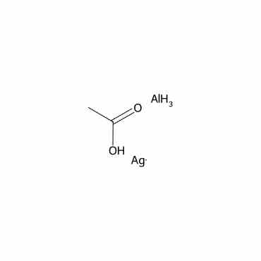 CC(=O)O.[Ag].[AlH3]